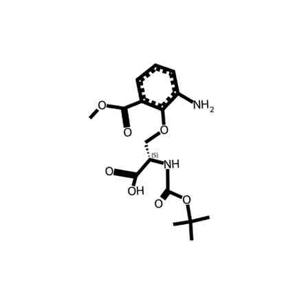 COC(=O)c1cccc(N)c1OC[C@H](NC(=O)OC(C)(C)C)C(=O)O